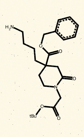 CC(C)(C)OC(=O)CN1CCC(CCCCN)(C(=O)OCc2ccccc2)CC1=O